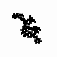 CC1(C)CCc2c(-c3cc4cc(F)c(C(=O)N5CCN(C(=O)OCc6ccccc6)CC5)cc4n3COCC[Si](C)(C)C)nn(COCC[Si](C)(C)C)c2C1